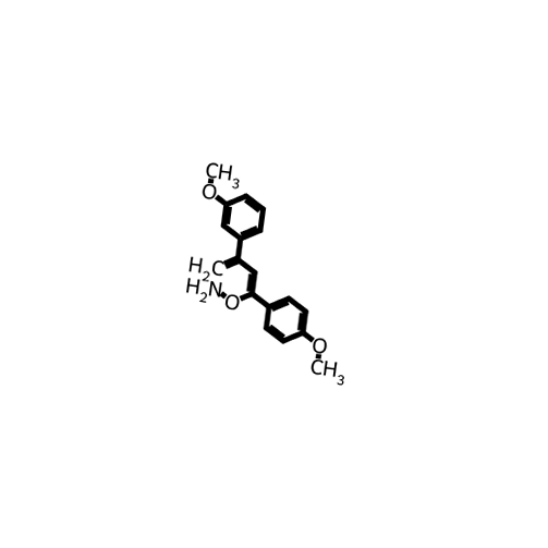 C=C(/C=C(\ON)c1ccc(OC)cc1)c1cccc(OC)c1